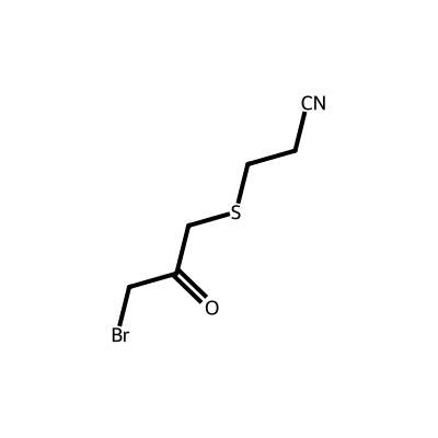 N#CCCSCC(=O)CBr